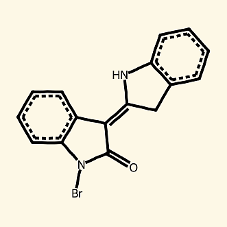 O=C1C(=C2Cc3ccccc3N2)c2ccccc2N1Br